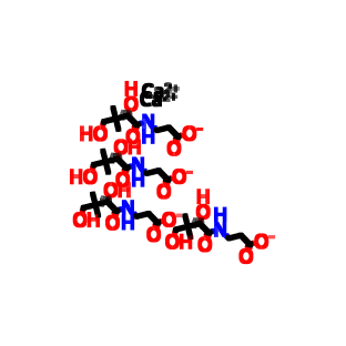 CC(C)(CO)[C@@H](O)C(=O)NCCC(=O)[O-].CC(C)(CO)[C@@H](O)C(=O)NCCC(=O)[O-].CC(C)(CO)[C@@H](O)C(=O)NCCC(=O)[O-].CC(C)(CO)[C@@H](O)C(=O)NCCC(=O)[O-].[Ca+2].[Ca+2]